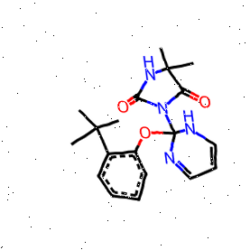 CC1(C)NC(=O)N(C2(Oc3ccccc3C(C)(C)C)N=CC=CN2)C1=O